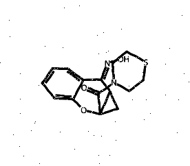 O=C(N1CCSCC1)C12CC1C(=NO)c1ccccc1O2